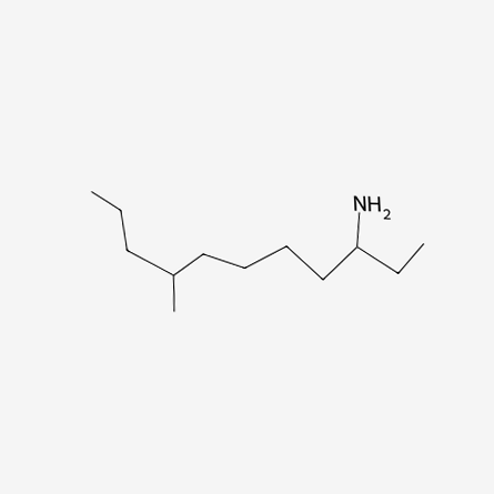 CCCC(C)CCCCC(N)CC